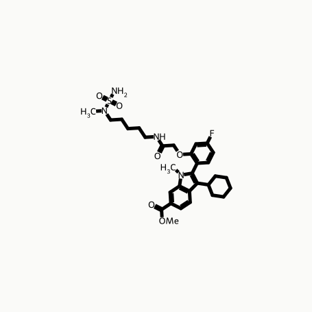 COC(=O)c1ccc2c(C3CCCCC3)c(-c3ccc(F)cc3OCC(=O)NCCCCCN(C)S(N)(=O)=O)n(C)c2c1